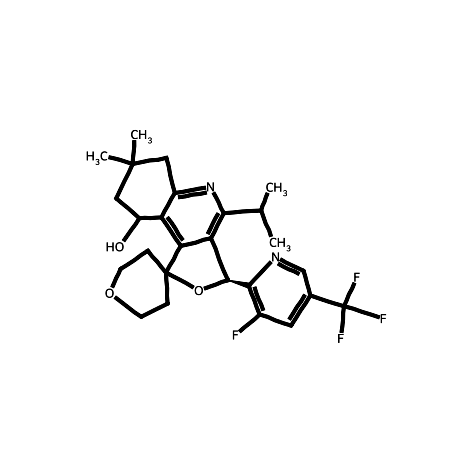 CC(C)c1nc2c(c3c1[C@@H](c1ncc(C(F)(F)F)cc1F)OC31CCOCC1)C(O)CC(C)(C)C2